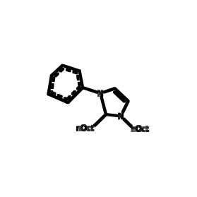 CCCCCCCCC1N(CCCCCCCC)C=CN1c1ccccc1